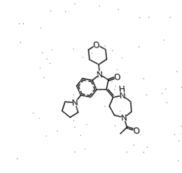 CC(=O)N1CCN/C(=C2\C(=O)N(C3CCOCC3)c3ccc(N4CCCC4)cc32)CC1